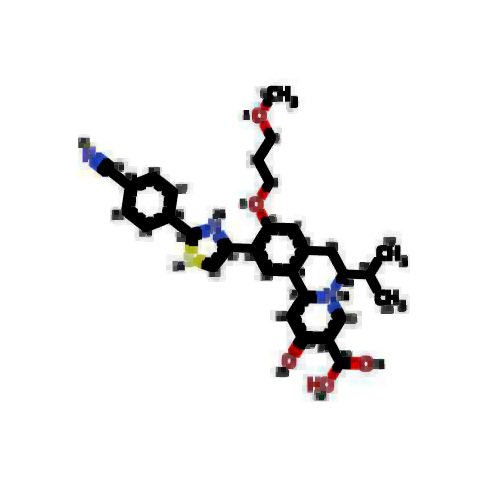 COCCCOc1cc2c(cc1-c1csc(-c3ccc(C#N)cc3)n1)-c1cc(=O)c(C(=O)O)cn1C(C(C)C)C2